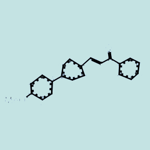 COc1ccc(-c2ccc(/C=C/C(=O)c3ccccc3)cc2)cc1